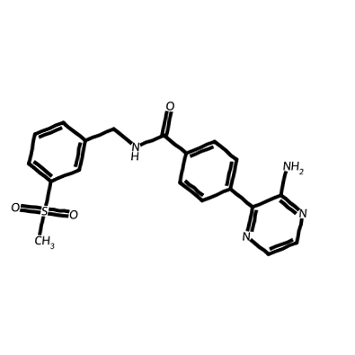 CS(=O)(=O)c1cccc(CNC(=O)c2ccc(-c3nccnc3N)cc2)c1